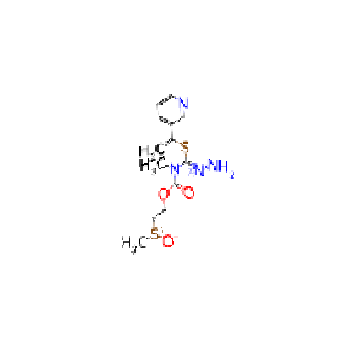 C=C(S/C(=N\N)N(C)C(=O)OCC[S+](C)[O-])c1cccnc1